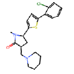 CN1C(=O)C(CN2CCCCC2)CC1c1ccc(-c2ccccc2Cl)s1